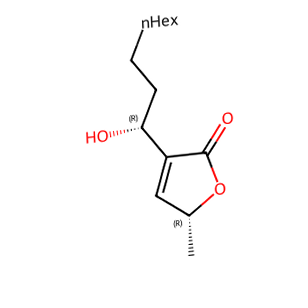 CCCCCCCC[C@@H](O)C1=C[C@@H](C)OC1=O